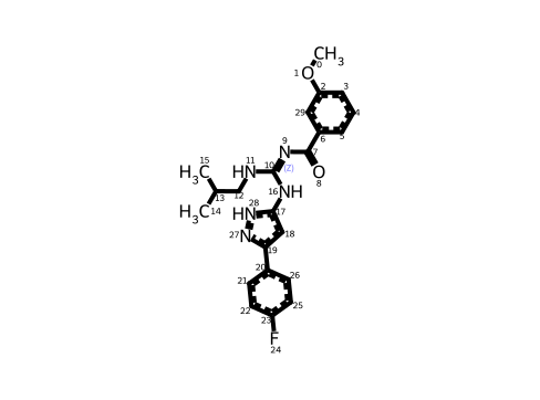 COc1cccc(C(=O)/N=C(/NCC(C)C)Nc2cc(-c3ccc(F)cc3)n[nH]2)c1